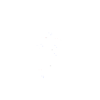 CCOc1nc(Nc2ccc(-c3cnco3)cc2)cc(N)c1C(=O)NCC1CC1